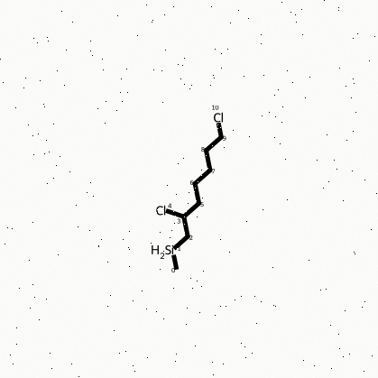 C[SiH2]CC(Cl)CCCCCCl